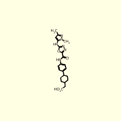 Cc1cc(Nc2nnc(C(=O)Nc3ccc(C4CCC(CC(=O)O)CC4)cc3)o2)n(C)n1